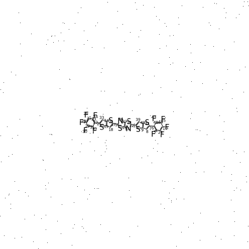 Fc1c(F)c(F)c(-c2cc3sc(-c4nc5sc(-c6cc7sc(-c8c(F)c(F)c(F)c(F)c8F)cc7s6)nc5s4)cc3s2)c(F)c1F